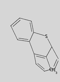 CC1=C2C=CC=CC1Sc1ccccc12